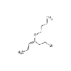 CC/C=C(\CCS)OCCCC